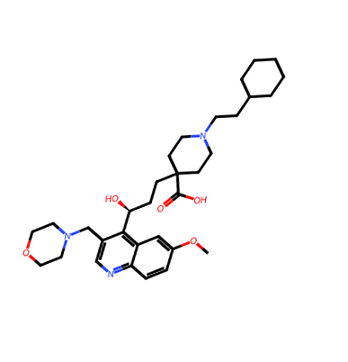 COc1ccc2ncc(CN3CCOCC3)c([C@@H](O)CCC3(C(=O)O)CCN(CCC4CCCCC4)CC3)c2c1